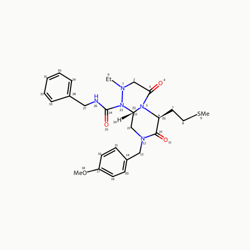 CCN1CC(=O)N2[C@@H](CCSC)C(=O)N(Cc3ccc(OC)cc3)C[C@@H]2N1C(=O)NCc1ccccc1